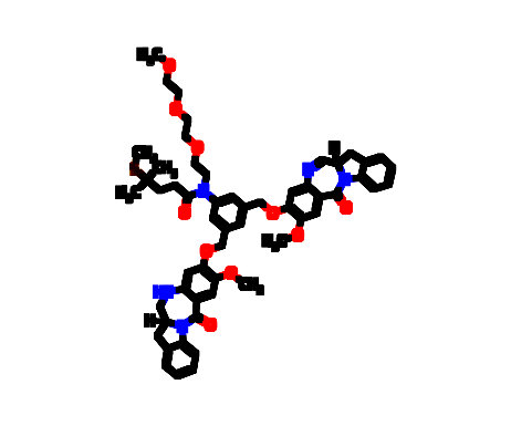 COCCOCCOCCN(C(=O)CCC(C)(C)SC)c1cc(COc2cc3c(cc2OC)C(=O)N2c4ccccc4C[C@H]2C=N3)cc(COc2cc3c(cc2OC)C(=O)N2c4ccccc4C[C@H]2CN3)c1